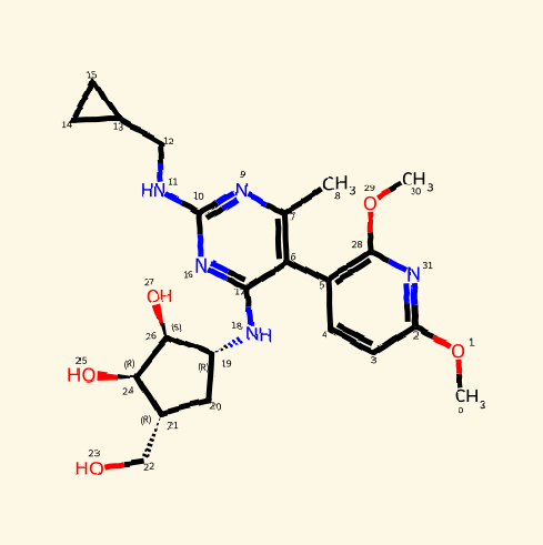 COc1ccc(-c2c(C)nc(NCC3CC3)nc2N[C@@H]2C[C@H](CO)[C@@H](O)[C@H]2O)c(OC)n1